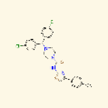 N#Cc1ccc(-c2csc(NC(=S)N3CCN(C(c4ccc(Cl)cc4)c4ccc(Cl)cc4)CC3)n2)cc1